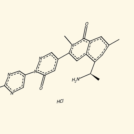 Cc1cc([C@@H](C)N)c2cc(-c3cnn(-c4cnc(C)nc4)c(=O)c3)n(C)c(=O)c2c1.Cl